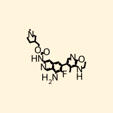 Cc1c(-c2cc3cc(NC(=O)OCC4CCN(C)C4)ncc3c(N)c2F)cnc2c1NCCO2